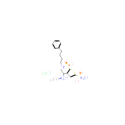 CCCNC1CN(CCCCc2ccccc2)S(=O)(=O)c2sc(S(N)(=O)=O)cc21.Cl